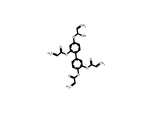 C=CC(=O)Oc1ccc(-c2ccc(OC(O)C=C)cc2OC(=O)C=C)cc1OC(=O)C=C